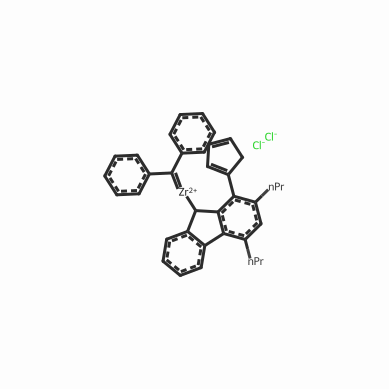 CCCc1cc(CCC)c2c(c1C1=CC=CC1)[CH]([Zr+2]=[C](c1ccccc1)c1ccccc1)c1ccccc1-2.[Cl-].[Cl-]